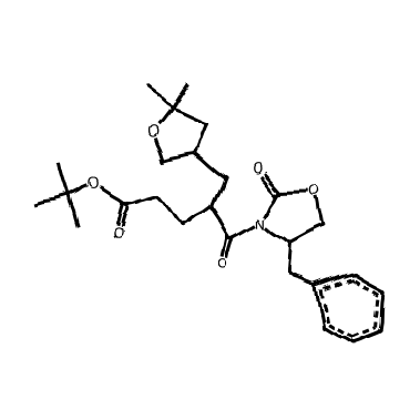 CC(C)(C)OC(=O)CCC(CC1COC(C)(C)C1)C(=O)N1C(=O)OCC1Cc1ccccc1